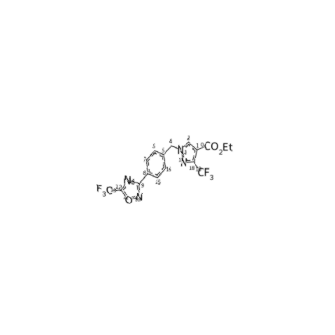 CCOC(=O)c1cn(Cc2ccc(-c3noc(C(F)(F)F)n3)cc2)nc1C(F)(F)F